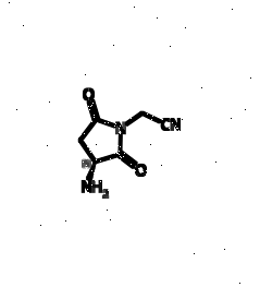 N#CCN1C(=O)C[C@H](N)C1=O